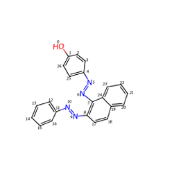 Oc1ccc(N=Nc2c(N=Nc3ccccc3)ccc3ccccc23)cc1